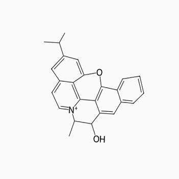 CC(C)c1cc2c3c4[n+](ccc3c1)C(C)C(O)c1cc3ccccc3c(c1-4)O2